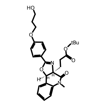 CN1C(=O)[C@]2(CCC(=O)OC(C)(C)C)N=C(c3ccc(OCCCO)cc3)O[C@@H]2c2ccccc21